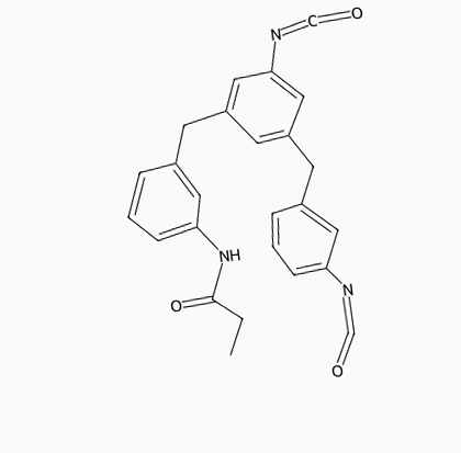 CCC(=O)Nc1cccc(Cc2cc(Cc3cccc(N=C=O)c3)cc(N=C=O)c2)c1